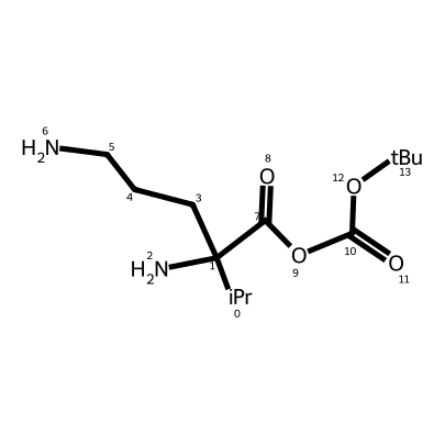 CC(C)C(N)(CCCN)C(=O)OC(=O)OC(C)(C)C